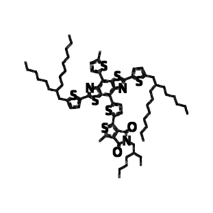 CCCCCCCCC(CCCCCC)Cc1ccc(-c2nc3c(-c4ccc(-c5sc(C)c6c5C(=O)N(CC(CC)CCCC)C6=O)s4)c4sc(-c5ccc(CC(CCCCCC)CCCCCCCC)s5)nc4c(-c4ccc(C)s4)c3s2)s1